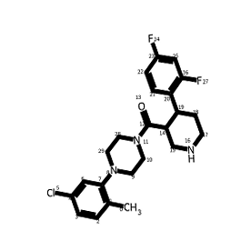 Cc1ccc(Cl)cc1N1CCN(C(=O)C2CNCCC2c2ccc(F)cc2F)CC1